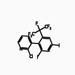 FC(F)(F)C(F)(c1cc(I)[c]c(I)c1-c1cccnc1Cl)C(F)(F)F